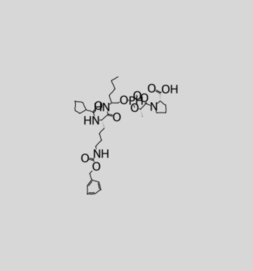 CCCCC(CO[PH](=O)O[C@@H](C)C(=O)N1CCC[C@H]1C(=O)O)NC(=O)[C@H](CCCCNC(=O)OCc1ccccc1)NC(=O)C1CCCC1